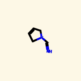 N=[C]N1CC=CC1